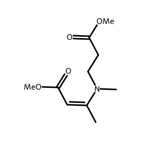 COC(=O)C=C(C)N(C)CCC(=O)OC